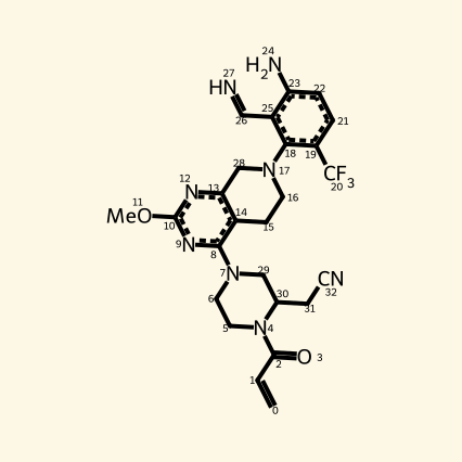 C=CC(=O)N1CCN(c2nc(OC)nc3c2CCN(c2c(C(F)(F)F)ccc(N)c2C=N)C3)CC1CC#N